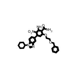 NC(=O)c1c(OCCOCc2ccccc2)cc(-c2ccc3c(c2)ncn3C2CCCCC2)c([N+](=O)[O-])c1N